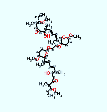 CC[C@H](OC)[C@@H](C)[C@@H]1O[C@H]1[C@H](O)[C@@H](C)/C=C/C=C(\C)[C@@H]1O[C@@H](OCCO[C@@H]2CC[C@H](OC)O[C@H]2/C(C)=C/C=C/[C@H](C)[C@@H](O)[C@@H]2O[C@H]2[C@H](C)[C@H](CC)OC)CC[C@@H]1OC